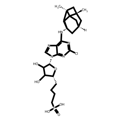 C[C@@]12C[C@@H]3CC14C[C@](Nc1nc(Cl)nc5c1ncn5[C@@H]1O[C@H](CCCCP(=O)(O)O)C(O)C1O)(C3)C[C@@]4(C)C2